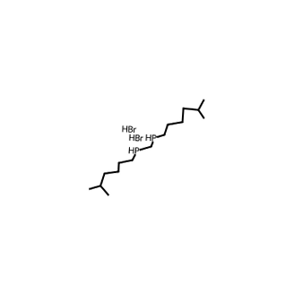 Br.Br.CC(C)CCCCPCPCCCCC(C)C